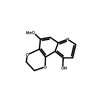 COc1cc2nccc(O)c2c2c1OCCO2